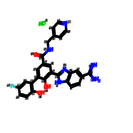 Cl.N=C(N)c1ccc2[nH]c(-c3cc(C(=O)NCc4ccncc4)cc(-c4cc(F)ccc4O)c3O)nc2c1